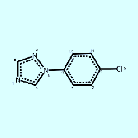 Clc1ccc(-n2cncn2)cc1